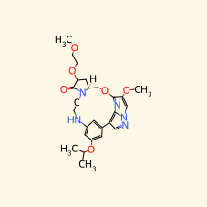 COCCOC1C[C@H]2COc3nc4c(cnn4cc3OC)-c3cc(cc(OC(C)C)c3)NCCN2C1=O